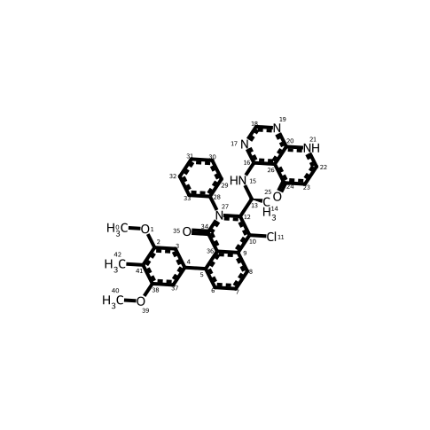 COc1cc(-c2cccc3c(Cl)c([C@H](C)Nc4ncnc5[nH]ccc(=O)c45)n(-c4ccccc4)c(=O)c23)cc(OC)c1C